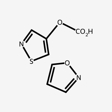 O=C(O)Oc1cnsc1.c1cnoc1